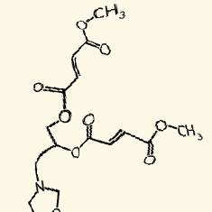 COC(=O)/C=C/C(=O)OCC(CN1CCOC1)OC(=O)/C=C/C(=O)OC